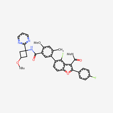 CCCCOC1CC(NC(=O)c2cc(-c3ccc4oc(-c5ccc(F)cc5)c(C(=O)NC)c4c3F)c(C)cc2OC)(c2ncccn2)C1